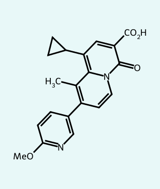 COc1ccc(-c2ccn3c(=O)c(C(=O)O)cc(C4CC4)c3c2C)cn1